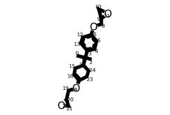 CC(C)(c1ccc(OCC2CO2)cc1)C1CC=C(OCC2CO2)CC1